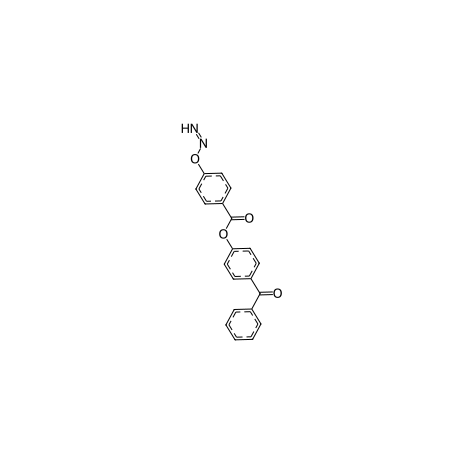 N=NOc1ccc(C(=O)Oc2ccc(C(=O)c3ccccc3)cc2)cc1